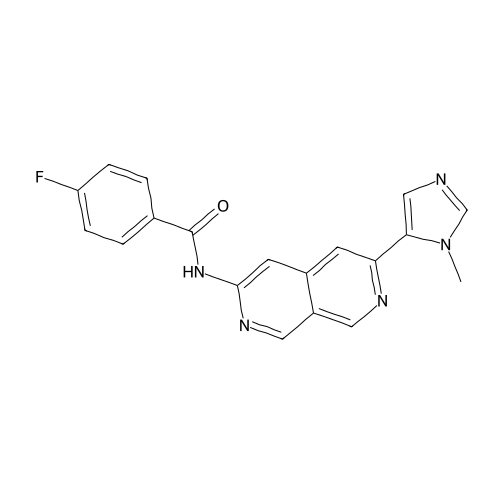 Cn1cncc1-c1cc2cc(NC(=O)c3ccc(F)cc3)ncc2cn1